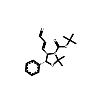 CC(C)(C)OC(=O)N1[C@H](/C=C/C=O)[C@@H](c2ccccc2)OC1(C)C